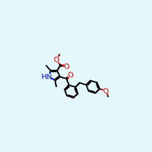 COC(=O)c1c(C)[nH]c(C)c1C(=O)c1ccccc1Cc1ccc(OC)cc1